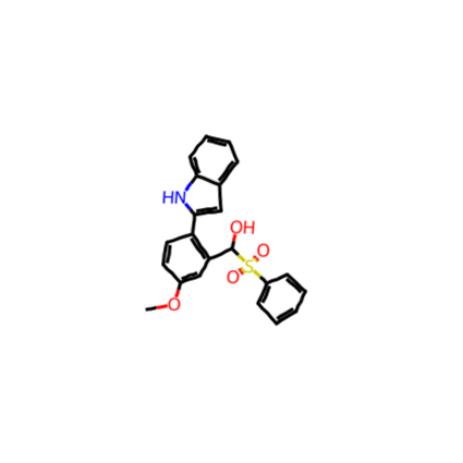 COc1ccc(-c2cc3ccccc3[nH]2)c(C(O)S(=O)(=O)c2ccccc2)c1